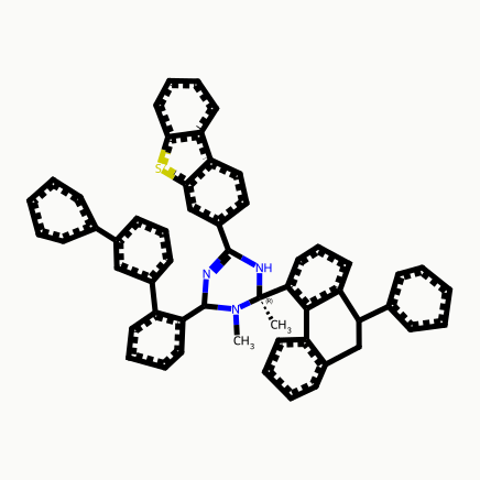 CN1C(c2ccccc2-c2cccc(-c3ccccc3)c2)N=C(c2ccc3c(c2)sc2ccccc23)N[C@@]1(C)c1cccc2c1-c1ccccc1CC2c1ccccc1